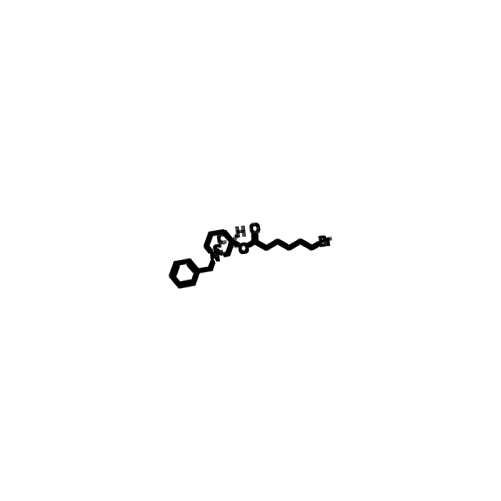 O=C(CCCCCBr)O[C@H]1C[N+]2(Cc3ccccc3)CCC1CC2